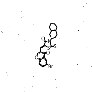 O=C1C(=Cc2coc3ccc(Br)cc3c2=O)SC(=S)N1C1CCC2CCCCC2C1